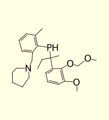 CCC(C)(Pc1c(C)cccc1CN1CCCCC1)c1cccc(OC)c1OCOC